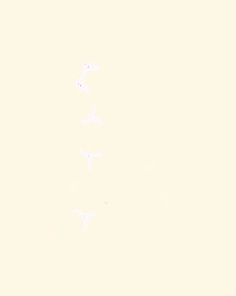 CS(=O)(=O)c1ccc(N2CCOCC2)c(C(=O)N2CCN(c3nnc(C(F)(F)F)s3)CC2)c1